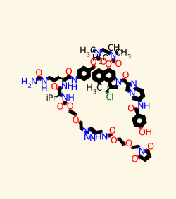 Cc1cccc2c(OC(=O)N(C)C(C)(C)CN(C)C(=O)OCc3ccc(NC(=O)[C@H](CCCNC(N)=O)NC(=O)[C@@H](NC(=O)OCCOCCn4cc(CNC(=O)OCCOCCN5C(=O)C=CC5=O)nn4)C(C)C)cc3)cc3c(c12)[C@H](CCl)CN3C(=O)c1cn2cc(NC(=O)c3ccc(O)cc3)ccc2n1